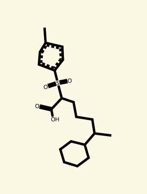 Cc1ccc(S(=O)(=O)C(CCCC(C)C2CCCCC2)C(=O)O)cc1